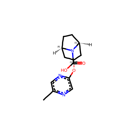 Cc1cnc(O[C@@H]2C[C@H]3CC[C@@H](C2)N3C(=O)O)cn1